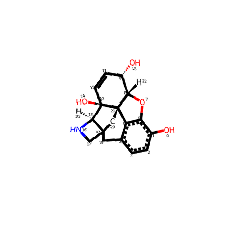 Oc1ccc2c3c1O[C@H]1[C@@H](O)C=C[C@@]4(O)[C@@H]5NCC5(C2)C[C@]314